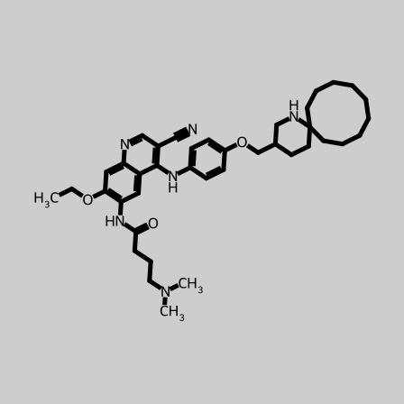 CCOc1cc2ncc(C#N)c(Nc3ccc(OCC4CCC5(CCCCCCCCC5)NC4)cc3)c2cc1NC(=O)CCCN(C)C